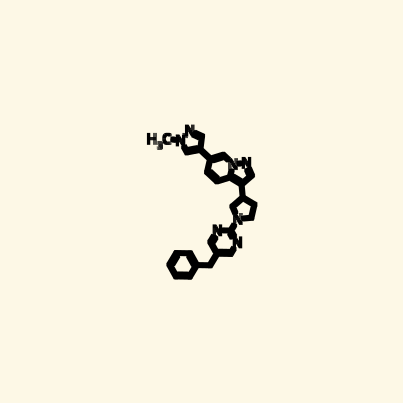 Cn1cc(-c2ccc3c(C4CCN(c5ncc(Cc6ccccc6)cn5)C4)cnn3c2)cn1